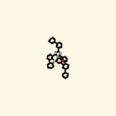 c1ccc(-c2cccc(-c3nc(-c4ccccc4)nc(-c4cccc5c6ccccc6n(-c6ccc7oc8ccc(-c9ccccc9)cc8c7c6)c45)n3)c2)cc1